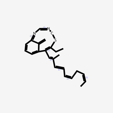 C=c1c2ccc/c1=N/C=N\CS/C(CC)=C2/C=C(C)/C=C/C=C\C/C=C\C